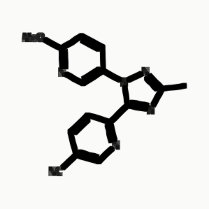 COc1ccc(-n2nc(C)nc2-c2ccc(C#N)cn2)cn1